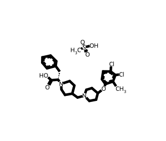 CS(=O)(=O)O.Cc1c(OC2CCN(CC3CCN([C@@H](Cc4ccccc4)C(=O)O)CC3)CC2)ccc(Cl)c1Cl